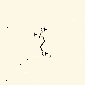 CCCC.[CH]